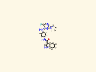 O=C(Nc1ccc(Nc2nc(N3CCCC3)ncc2F)cc1)c1c[nH]c2ccccc12